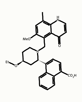 CCO[C@H]1CCN(Cc2c(OC)cc(C)c3[nH]ccc(=O)c23)[C@H](c2ccc(C(=O)O)c3ccccc23)C1